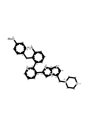 COc1ccc(Cc2c(N)cccc2-c2ncccc2-c2cn3c(CN4CCOCC4)csc3n2)cc1